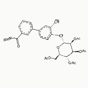 CNC(=O)c1cccc(-c2ccc(O[C@H]3O[C@H](COC(C)=O)[C@@H](OC(C)=O)[C@H](OC(C)=O)[C@@H]3OC(C)=O)c(C#N)c2)c1